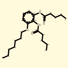 CCCCCCCOc1cccc(OC(=O)CCCC)c1OC(=O)CCCC